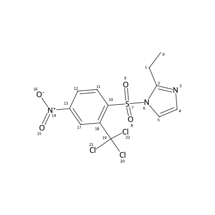 CCc1nccn1S(=O)(=O)c1ccc([N+](=O)[O-])cc1C(Cl)(Cl)Cl